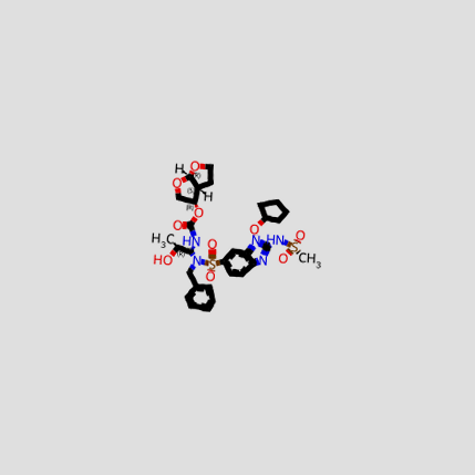 C[C@@H](O)[C@@H](NC(=O)O[C@H]1CO[C@H]2OCC[C@H]21)N(Cc1ccccc1)S(=O)(=O)c1ccc2nc(NS(C)(=O)=O)n(OC3CCCC3)c2c1